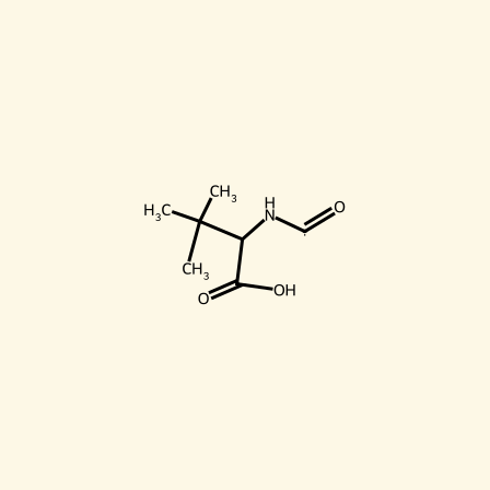 CC(C)(C)C(N[C]=O)C(=O)O